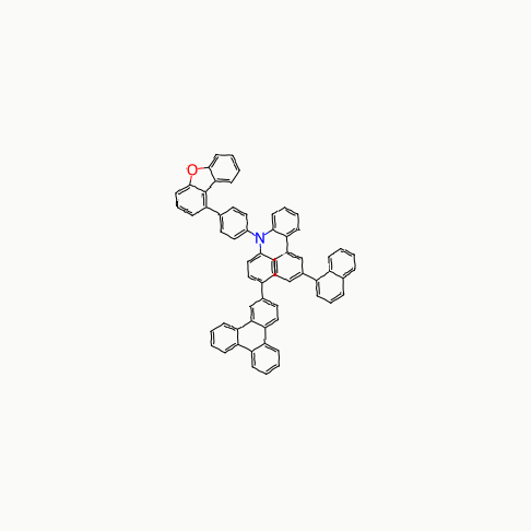 c1cc(-c2ccccc2N(c2ccc(-c3ccc4c5ccccc5c5ccccc5c4c3)cc2)c2ccc(-c3cccc4oc5ccccc5c34)cc2)cc(-c2cccc3ccccc23)c1